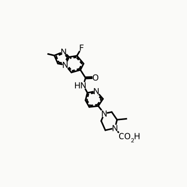 Cc1cn2cc(C(=O)Nc3ccc(N4CCN(C(=O)O)C(C)C4)cn3)cc(F)c2n1